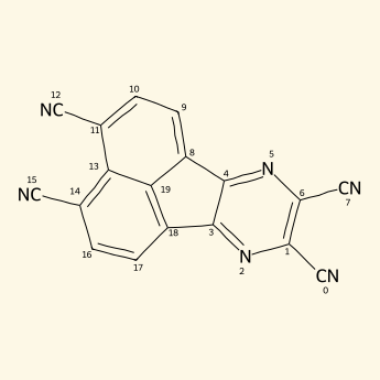 N#Cc1nc2c(nc1C#N)-c1ccc(C#N)c3c(C#N)ccc-2c13